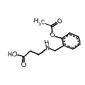 CC(=O)Oc1ccccc1CNCCC(=O)O